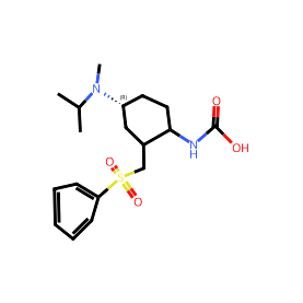 CC(C)N(C)[C@@H]1CCC(NC(=O)O)C(CS(=O)(=O)c2ccccc2)C1